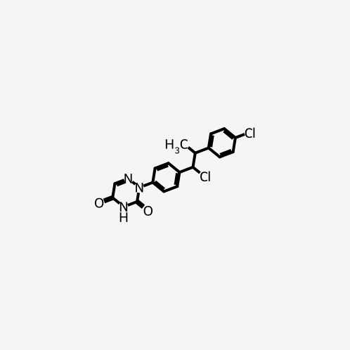 CC(c1ccc(Cl)cc1)C(Cl)c1ccc(-n2ncc(=O)[nH]c2=O)cc1